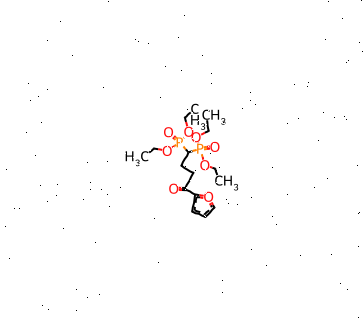 CCOP(=O)(OCC)C(CCC(=O)c1ccco1)P(=O)(OCC)OCC